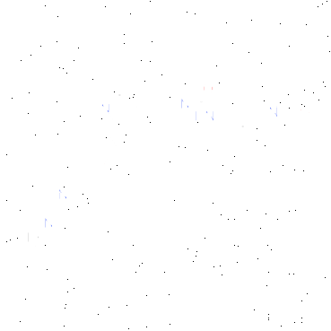 CN1CCN(CCCOc2ccc3c(C4CCN(C(=O)Nc5ccc(N6CCOCC6)cc5)CC4)ccnc3c2)CC1